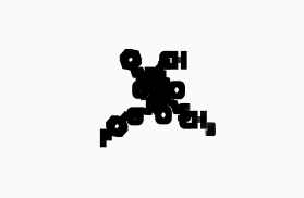 C#CCN1CC(=O)N2[C@@H](CCSC)C(=O)N(CCOCc3ccc(F)cc3)C[C@@H]2N1C(=O)NCc1ccccc1